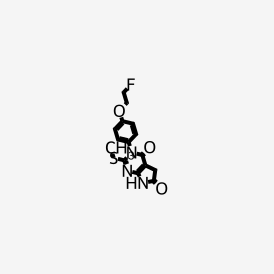 CSc1nc2c(c(=O)n1-c1ccc(OCCF)cc1)CC(=O)N2